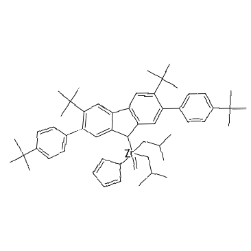 [CH2]=[Zr]([CH2]C(C)C)([CH2]C(C)C)([CH]1C=CC=C1)[CH]1c2cc(-c3ccc(C(C)(C)C)cc3)c(C(C)(C)C)cc2-c2cc(C(C)(C)C)c(-c3ccc(C(C)(C)C)cc3)cc21